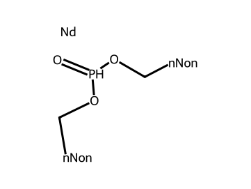 CCCCCCCCCCO[PH](=O)OCCCCCCCCCC.[Nd]